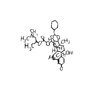 CC(CN(C)C)OC(=O)OCC(=O)[C@@]12O[C@H](C3CCCCC3)O[C@@H]1C[C@H]1[C@@H]3CCC4=CC(=O)C=C[C@]4(C)[C@H]3[C@@H](O)C[C@@]12C